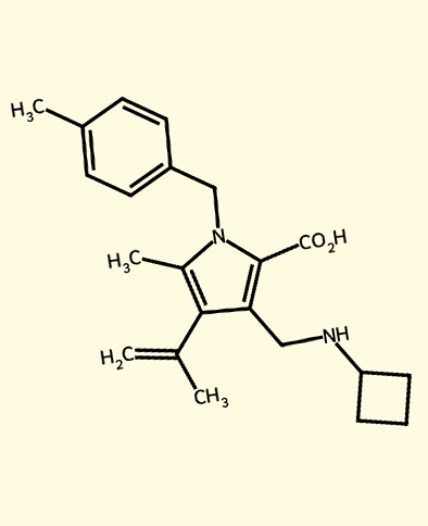 C=C(C)c1c(CNC2CCC2)c(C(=O)O)n(Cc2ccc(C)cc2)c1C